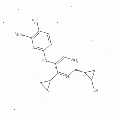 CNc1nc(NC(=C/N)/C(=N\C[C@H]2CC2C#N)C2CC2)ncc1C(F)(F)F